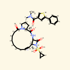 CN(C[C@@H]1C[C@H]2C(=O)NC3C(=O)N(S(=O)(=O)C4CC4)[C@H]3/C=C\CCCCCCC(=O)N2C1)C(=O)c1csc(-c2ccccc2)c1